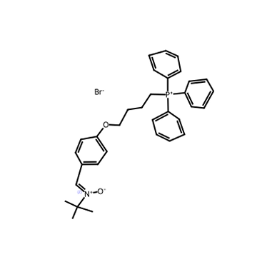 CC(C)(C)/[N+]([O-])=C/c1ccc(OCCCC[P+](c2ccccc2)(c2ccccc2)c2ccccc2)cc1.[Br-]